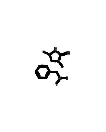 CN1CN(C)[C](=[Pt])N1.IN(I)Cc1ccccc1